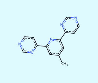 Cc1cc(-c2ccncn2)nc(-c2ccncn2)c1